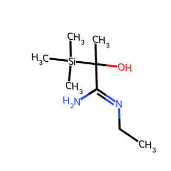 CCN=C(N)C(C)(O)[Si](C)(C)C